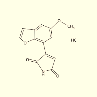 COc1cc(C2=CC(=O)NC2=O)c2occc2c1.Cl